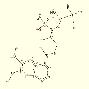 COc1cc2nncc(N3CCC(N(CC(O)C(F)(F)F)S(N)(=O)=O)CC3)c2cc1OC